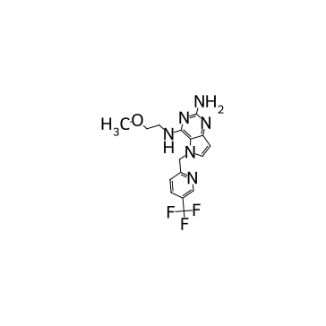 COCCNc1nc(N)nc2ccn(Cc3ccc(C(F)(F)F)cn3)c12